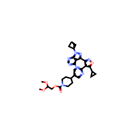 COC(COC(=O)N1CCC(c2cnc(-c3c(-c4nn(C56CC(C5)C6)c5ncnc(N)c45)noc3C3CC3)nc2)CC1)OC